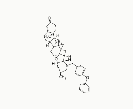 C[C@H]1C[C@H]2O[C@@]34CC[C@@]5(N)[C@@H]6CCC7=CC(=O)CC[C@]7(C)[C@H]6CC56CC63C[C@@H]4[C@@H]2N(Cc2ccc(Oc3ccccc3)cc2)C1